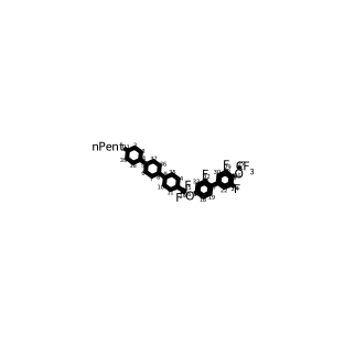 CCCCCC1CCC(C2CCC(C3CCC(C(F)(F)Oc4ccc(-c5cc(F)c(OC(F)(F)F)c(F)c5)c(F)c4)CC3)CC2)CC1